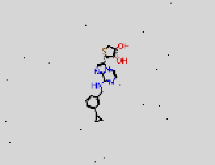 O[C@@H]1[C@H](O)CS[C@H]1c1cnc2c(NCc3cccc(C4CC4)c3)nccn12